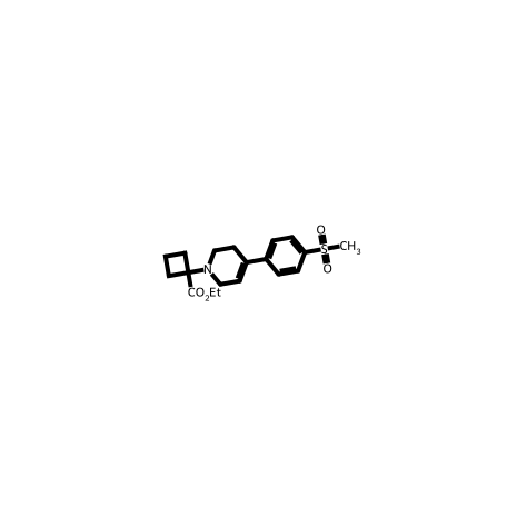 CCOC(=O)C1(N2CC=C(c3ccc(S(C)(=O)=O)cc3)CC2)CCC1